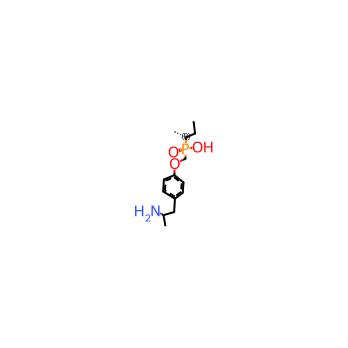 CC[C@@H](C)P(=O)(O)COc1ccc(CC(C)N)cc1